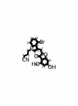 N#CCCCn1cc(/C=C2/Oc3cc(O)cc(O)c3C2=O)c2c(Br)cccc21